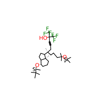 CC(C)(CCC[C@](C)(CC#CC(O)(C(F)(F)F)C(F)(F)F)C1CCC2[C@@H](O[Si](C)(C)C(C)(C)C)CCC[C@@]21C)O[Si](C)(C)C